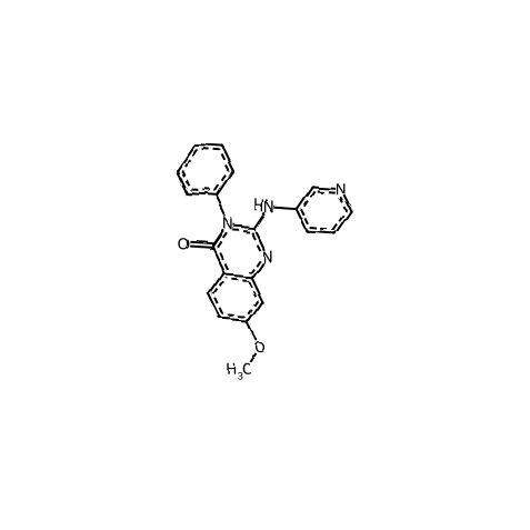 COc1ccc2c(=O)n(-c3ccccc3)c(Nc3cccnc3)nc2c1